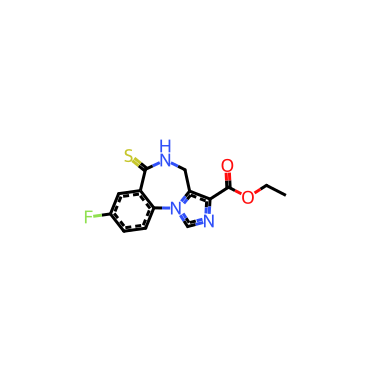 CCOC(=O)c1ncn2c1CNC(=S)c1cc(F)ccc1-2